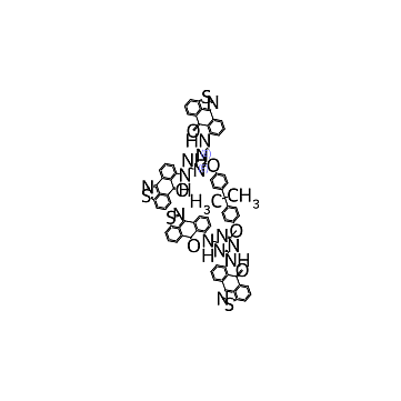 CC(C)(c1ccc(OC(/N=C/Nc2cccc3c2C(=O)c2cccc4snc-3c24)=N/C(=N)Nc2cccc3c2C(=O)c2cccc4snc-3c24)cc1)c1ccc(Oc2nc(Nc3cccc4c3C(=O)c3cccc5snc-4c35)nc(Nc3cccc4c3C(=O)c3cccc5snc-4c35)n2)cc1